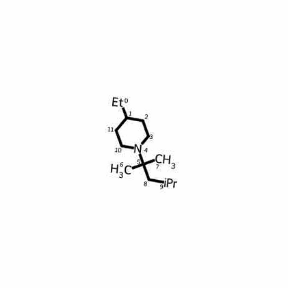 CCC1CCN(C(C)(C)CC(C)C)CC1